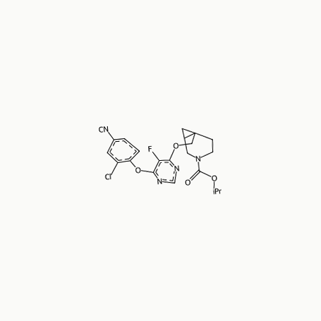 [C-]#[N+]c1ccc(Oc2ncnc(OCC34CCN(C(=O)OC(C)C)CC3C4)c2F)c(Cl)c1